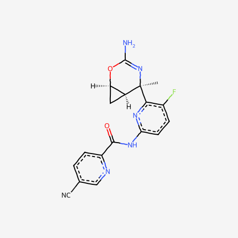 C[C@@]1(c2nc(NC(=O)c3ccc(C#N)cn3)ccc2F)N=C(N)O[C@@H]2C[C@@H]21